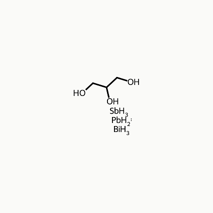 OCC(O)CO.[BiH3].[PbH2].[SbH3]